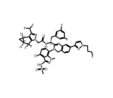 Cn1nc(NS(C)(=O)=O)c2c(Cl)ccc(N3Cc4ccc(-c5ccn(CCCF)n5)cc4N=C3[C@H](Cc3cc(F)cc(F)c3)NC(=O)Cn3nc(C(F)F)c4c3C(F)(F)[C@@H]3C[C@H]43)c21